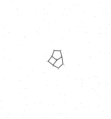 C1CC2CC3CCC1C23